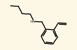 C=Cc1ccccc1CNCCCC